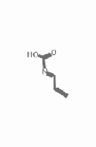 C=CC=NC(=O)O